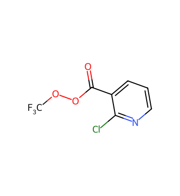 O=C(OOC(F)(F)F)c1cccnc1Cl